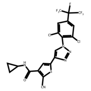 N#Cc1sc(-c2cn(-c3c(Cl)cc(C(F)(C(F)(F)F)C(F)(F)F)cc3Cl)nn2)cc1C(=O)NC1CC1